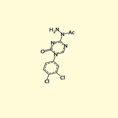 CC(=O)N(N)c1ncn(-c2ccc(Cl)c(Cl)c2)c(=O)n1